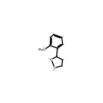 COc1ccccc1[C]1CCOO1